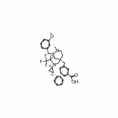 COc1cccc(CC2CC(Cc3cccc(C(=O)O)c3)(CN(C(=O)C(F)(F)F)[C@@H]3C[C@H]3c3ccccc3)CCN2C)c1